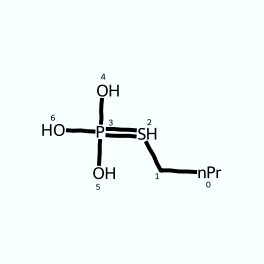 CCCC[SH]=P(O)(O)O